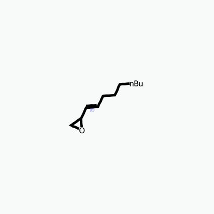 CCCCCCC/C=C/C1CO1